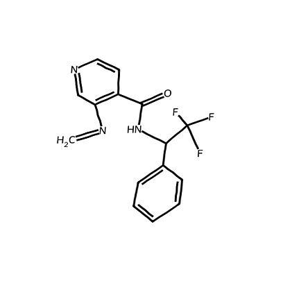 C=Nc1cnccc1C(=O)NC(c1ccccc1)C(F)(F)F